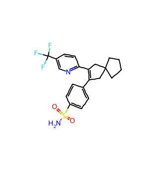 NS(=O)(=O)c1ccc(C2=C(c3ccc(C(F)(F)F)cn3)CC3(CCCC3)C2)cc1